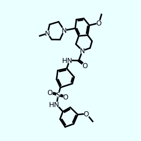 COc1cccc(NS(=O)(=O)c2ccc(NC(=O)N3CCc4c(OC)ccc(N5CCN(C)CC5)c4C3)cc2)c1